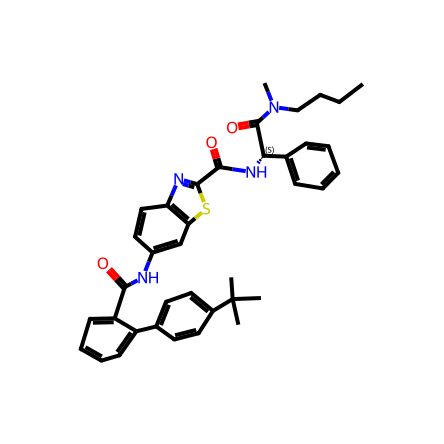 CCCCN(C)C(=O)[C@@H](NC(=O)c1nc2ccc(NC(=O)c3ccccc3-c3ccc(C(C)(C)C)cc3)cc2s1)c1ccccc1